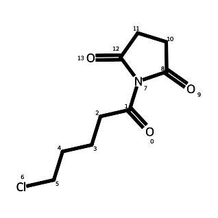 O=C(CCCCCl)N1C(=O)CCC1=O